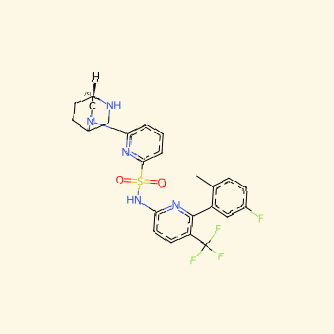 Cc1ccc(F)cc1-c1nc(NS(=O)(=O)c2cccc(N3C[C@@H]4CCC3CN4)n2)ccc1C(F)(F)F